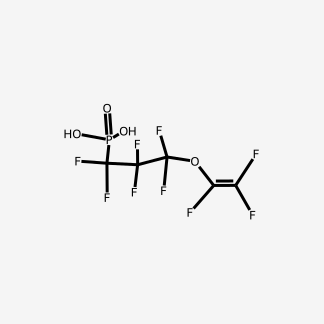 O=P(O)(O)C(F)(F)C(F)(F)C(F)(F)OC(F)=C(F)F